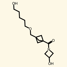 O=C(N1CC(O)C1)C12CC(COCCCCCO)(C1)C2